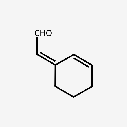 O=CC=C1C=CCCC1